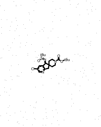 CC(C)(C)OC(=O)N1CCC2(CC1)Cc1ncc(Cl)cc1/C2=N\[S@+]([O-])C(C)(C)C